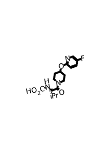 CC(C)[C@H](NC(=O)O)C(=O)N1CCC(Oc2ccc(F)cn2)CC1